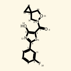 O=C(c1sc(-c2cccc(F)c2)nc1O)N1CC2(CC2)CO1